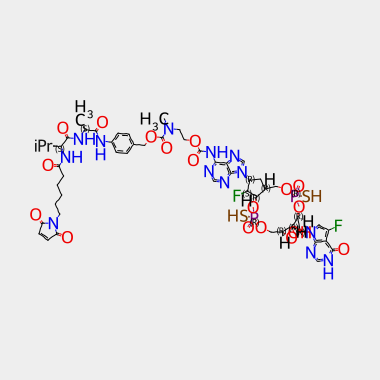 CC(C)[C@H](NC(=O)CCCCCN1C(=O)C=CC1=O)C(=O)N[C@@H](C)C(=O)Nc1ccc(COC(=O)N(C)CCOC(=O)Nc2ncnc3c2ncn3[C@@H]2C[C@@H]3CO[P@@](=O)(S)O[C@@H]4[C@H](O)[C@@H](CO[P@@](=O)(S)O[C@H]3[C@H]2F)O[C@H]4n2cc(F)c3c(=O)[nH]cnc32)cc1